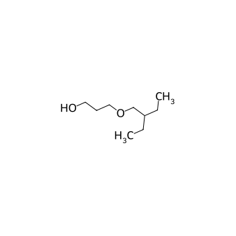 CCC(CC)COCCCO